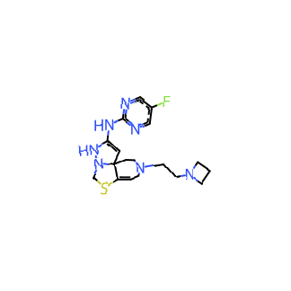 Fc1cnc(NC2=CC34CCN(CCN5CCC5)CC=C3SCN4N2)nc1